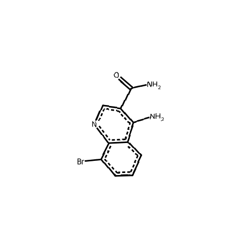 NC(=O)c1cnc2c(Br)cccc2c1N